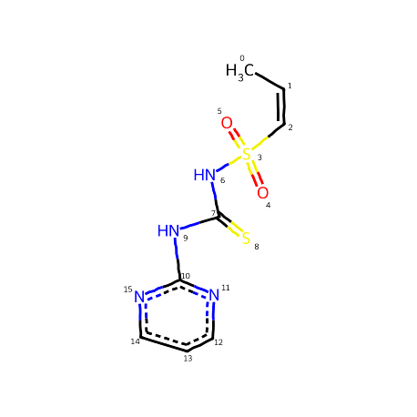 C/C=C\S(=O)(=O)NC(=S)Nc1ncccn1